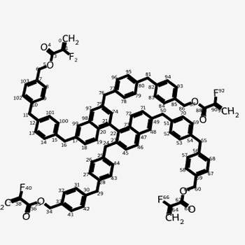 C=C(F)C(=O)OCc1ccc(Cc2ccc(Cc3ccc4c(-c5c(Cc6ccc(Cc7ccc(COC(=O)C(=C)F)cc7)cc6)ccc6cc(Cc7ccc(Cc8ccc(COC(=O)C(=C)F)cc8)cc7)ccc56)cc(Cc5ccc(Cc6ccc(COC(=O)C(=C)F)cc6)cc5)cc4c3)cc2)cc1